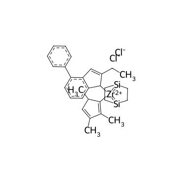 CCC1=Cc2c(-c3ccccc3)cccc2[CH]1[Zr+2]1([C]2=C(C)C(C)=CC2C)=[Si]2CC[Si]=1CC2.[Cl-].[Cl-]